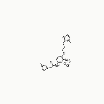 CN1C=C[N+]=C1CCCOc1ccc(NC(=O)C[n+]2ccn(C)c2)cc1N.[Cl-].[Cl-]